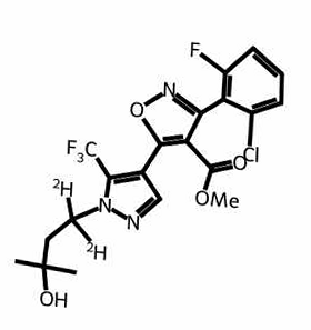 [2H]C([2H])(CC(C)(C)O)n1ncc(-c2onc(-c3c(F)cccc3Cl)c2C(=O)OC)c1C(F)(F)F